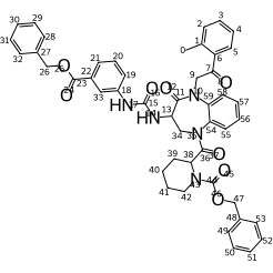 Cc1ccccc1C(=O)CN1C(=O)C(NC(=O)Nc2cccc(C(=O)OCc3ccccc3)c2)CN(C(=O)C2CCCCN2C(=O)OCc2ccccc2)c2ccccc21